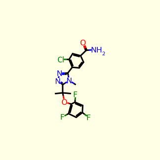 Cn1c(-c2ccc(C(N)=O)cc2Cl)nnc1C(C)(C)Oc1c(F)cc(F)cc1F